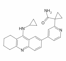 NC(=O)C1(c2cc(-c3ccc4nc5c(c(NC6CC6)c4c3)CCCC5)ccn2)CC1